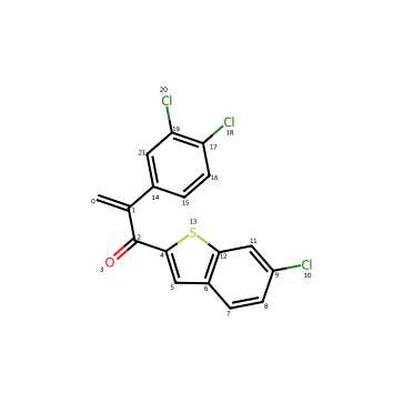 C=C(C(=O)c1cc2ccc(Cl)cc2s1)c1ccc(Cl)c(Cl)c1